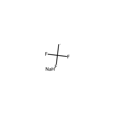 [CH2]C(F)(F)F.[NaH]